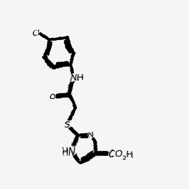 O=C(CSc1nc(C(=O)O)c[nH]1)Nc1ccc(Cl)cc1